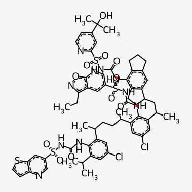 CCc1noc2ncc(S(=O)(=O)NC(=O)Nc3c(C(C)CCC(C)c4cc(Cl)cc(C(C)C)c4NC(=O)NS(=O)(=O)c4cnc5ccsc5c4)cc(Cl)cc3C(C)CC3CCc4c3cc3c(c4NC(=O)NS(=O)(=O)c4cc(C(C)(C)O)ccn4)CCC3)cc12